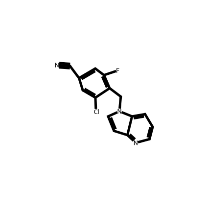 N#Cc1cc(F)c(Cn2ccc3ncccc32)c(Cl)c1